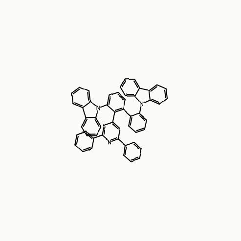 c1ccc(-c2cc(-c3c(-c4ccccc4-n4c5ccccc5c5ccccc54)cccc3-n3c4ccccc4c4ccccc43)cc(-c3ccccc3)n2)cc1